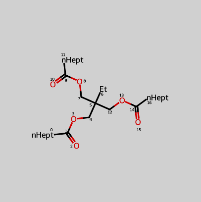 CCCCCCCC(=O)OCC(CC)(COC(=O)CCCCCCC)COC(=O)CCCCCCC